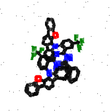 FC(F)(F)c1ccc(-n2c3ccccc3c3ccc4c5ccccc5oc4c32)c(-c2nc(-c3ccccc3)nc(-c3cc(C(F)(F)F)ccc3-n3c4ccccc4c4ccc5c6ccccc6oc5c43)n2)c1